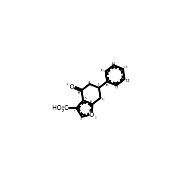 O=C(O)c1coc2c1C(=O)CC(c1ccccc1)C2